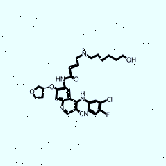 CN(C/C=C/C(=O)Nc1cc2c(Nc3ccc(F)c(Cl)c3)c(C#N)cnc2cc1O[C@H]1CCOC1)CCCCCCO